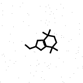 CCC1CC2=C(C1)C(C)(C)CCC2(C)C